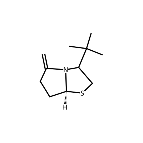 C=C1CC[C@@H]2SCC(C(C)(C)C)N12